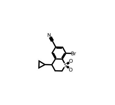 N#Cc1cc(Br)c2c(c1)C(C1CC1)CCS2(=O)=O